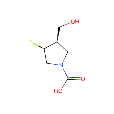 O=C(O)N1C[C@H](CO)[C@H](F)C1